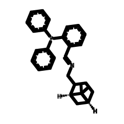 CC1(C)[C@H]2CCC(C/N=C/c3ccccc3P(c3ccccc3)c3ccccc3)[C@@H]1C2